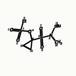 CCS(=O)(=O)OC1(S(=O)(=O)N(C)C(C)(C)C)CC1